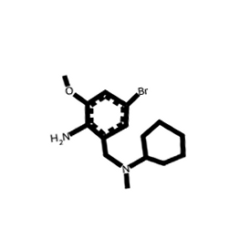 COc1cc(Br)cc(CN(C)C2CCCCC2)c1N